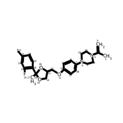 C=C(C)N1CCN(c2ccc(OCC3COC(C)(c4ccc(I)cc4F)O3)cc2)CC1